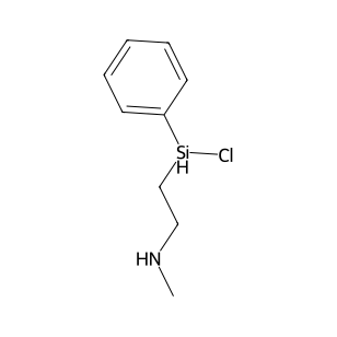 CNCC[SiH](Cl)c1ccccc1